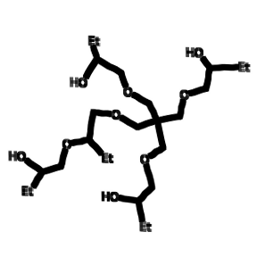 CCC(O)COCC(COCC(O)CC)(COCC(O)CC)COCC(CC)OCC(O)CC